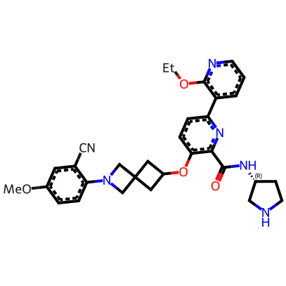 CCOc1ncccc1-c1ccc(OC2CC3(C2)CN(c2ccc(OC)cc2C#N)C3)c(C(=O)N[C@@H]2CCNC2)n1